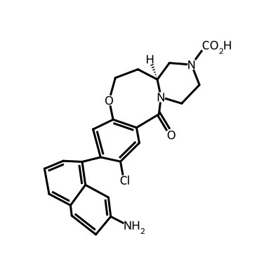 Nc1ccc2cccc(-c3cc4c(cc3Cl)C(=O)N3CCN(C(=O)O)C[C@@H]3CCO4)c2c1